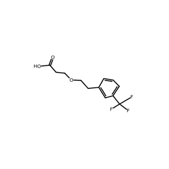 O=C(O)CCOCCc1cccc(C(F)(F)F)c1